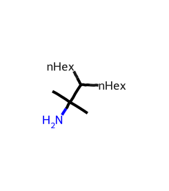 CCCCCCC(CCCCCC)C(C)(C)N